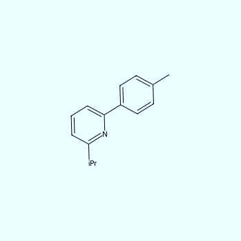 Cc1ccc(-c2cccc(C(C)C)n2)cc1